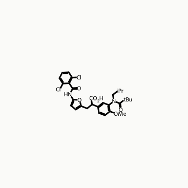 COc1ccc(C(Cc2ccc(NC(=O)c3c(Cl)cccc3Cl)o2)C(=O)O)cc1N(CC(C)C)C(=O)C(C)(C)C